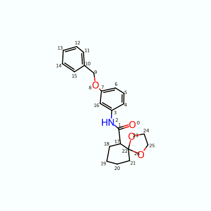 O=C(Nc1cccc(OCc2ccccc2)c1)C1CCCCC12OCCO2